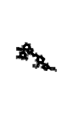 Cc1cn(-c2ccc(/C=C/c3nc4n(n3)CCC[C@@]4(C#N)c3cc(F)cc(F)c3)cc2C)cn1